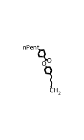 C=CCCCc1ccc(OC(=O)c2ccc(CCCCC)cc2)cc1